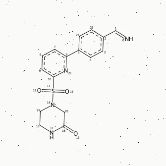 N=Cc1ccc(-c2cccc(S(=O)(=O)N3CCNC(=O)C3)n2)cc1